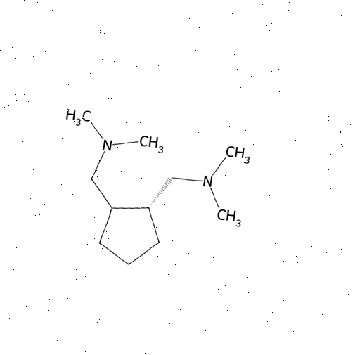 CN(C)CC1CCC[C@H]1CN(C)C